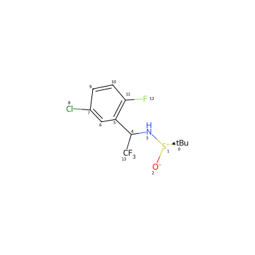 CC(C)(C)[S@@+]([O-])NC(c1cc(Cl)ccc1F)C(F)(F)F